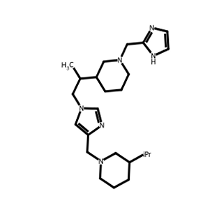 CC(C)C1CCCN(Cc2cn(CC(C)C3CCCN(Cc4ncc[nH]4)C3)cn2)C1